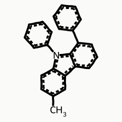 Cc1ccc2c(c1)c1cccc(-c3ccccc3)c1n2-c1ccccc1